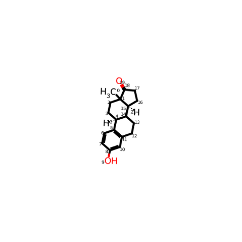 CC12CC[C@@H]3c4ccc(O)cc4CCC3[C@@H]1CCC2=O